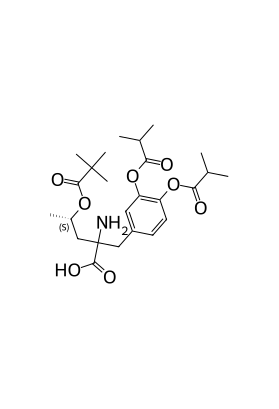 CC(C)C(=O)Oc1ccc(CC(N)(C[C@H](C)OC(=O)C(C)(C)C)C(=O)O)cc1OC(=O)C(C)C